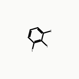 Ic1[c]ccc(I)c1I